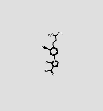 CC(C)COc1ccc(-n2ncc(C(=O)O)c2Cl)cc1C#N